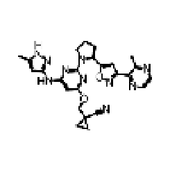 Cc1cc(Nc2cc(OCC3(C#N)CC3)nc(N3CCCC3c3cc(-c4nccnc4C)no3)n2)n[nH]1